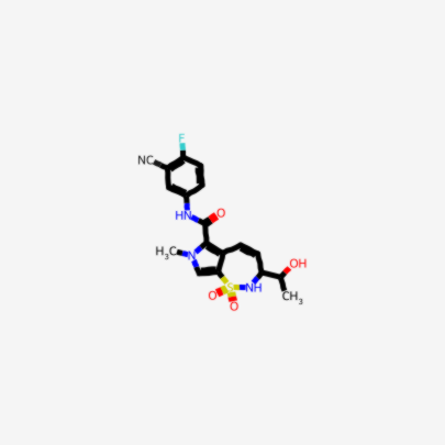 CC(O)C1C=Cc2c(cn(C)c2C(=O)Nc2ccc(F)c(C#N)c2)S(=O)(=O)N1